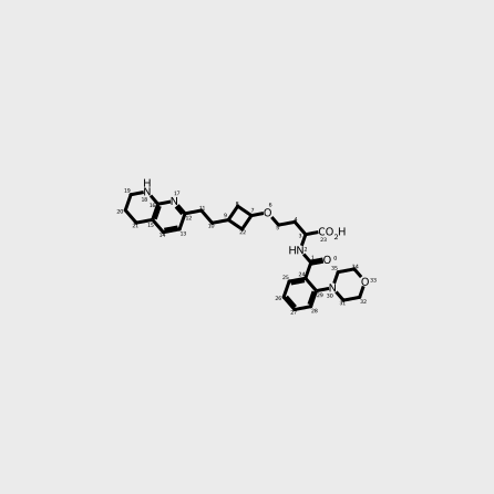 O=C(NC(CCOC1CC(CCc2ccc3c(n2)NCCC3)C1)C(=O)O)c1ccccc1N1CCOCC1